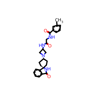 Cc1cccc(C(=O)NCC(=O)NC2CN([C@H]3CC[C@@]4(CC3)NC(=O)c3ccccc34)C2)c1